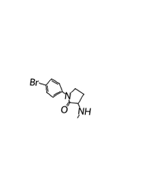 CNC1CCN(c2ccc(Br)cc2)C1=O